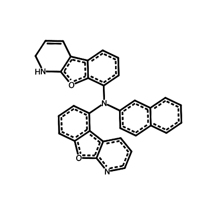 C1=Cc2c(oc3c(N(c4ccc5ccccc5c4)c4cccc5oc6ncccc6c45)cccc23)NC1